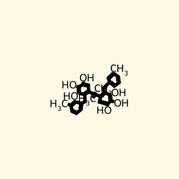 Cc1cccc(Cc2c(C(C)(C)c3cc(O)c(O)c(O)c3Cc3cccc(C)c3)cc(O)c(O)c2O)c1